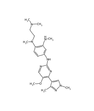 CNc1cc(Nc2ncc(OC)c(-c3cn(C)nc3C)n2)ccc1N(C)CCN(C)C